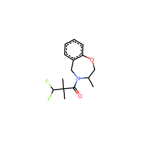 CC1COc2ccccc2CN1C(=O)C(C)(C)C(F)F